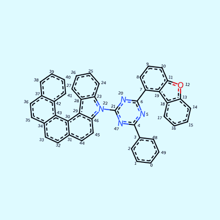 c1ccc(-c2nc(-c3cccc4oc5ccccc5c34)nc(-n3c4ccccc4c4c5c(ccc6ccc7ccccc7c65)ccc43)n2)cc1